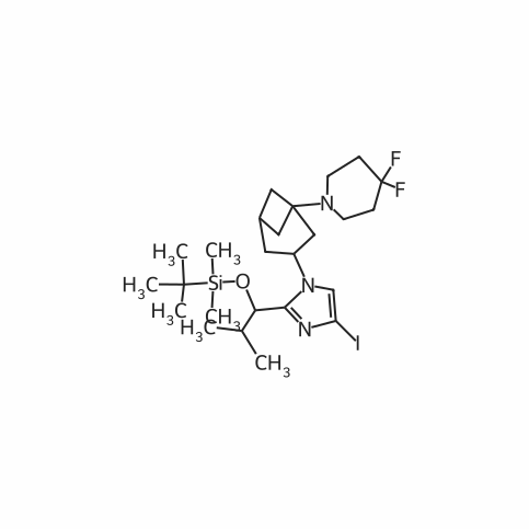 CC(C)C(O[Si](C)(C)C(C)(C)C)c1nc(I)cn1C1CC2CC(N3CCC(F)(F)CC3)(C2)C1